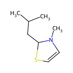 CC(C)CC1SC=CN1C